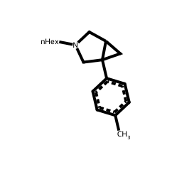 CCCCCCN1CC2CC2(c2ccc(C)cc2)C1